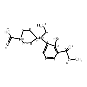 CCN(c1cccc(C(=O)OC)c1Br)C1CCN(C(=O)O)CC1